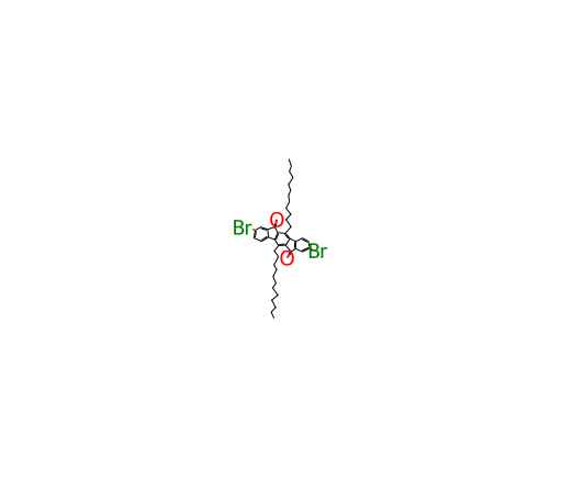 CCCCCCCCCCCCc1c2c(=O)c3cc(Br)ccc3c2c(CCCCCCCCCCCC)c2c(=O)c3cc(Br)ccc3c12